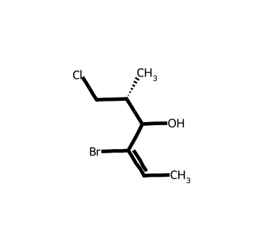 C/C=C(/Br)C(O)[C@@H](C)CCl